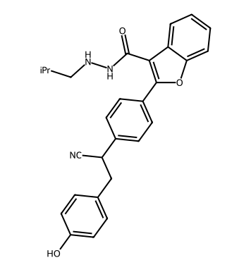 CC(C)CNNC(=O)c1c(-c2ccc(C(C#N)Cc3ccc(O)cc3)cc2)oc2ccccc12